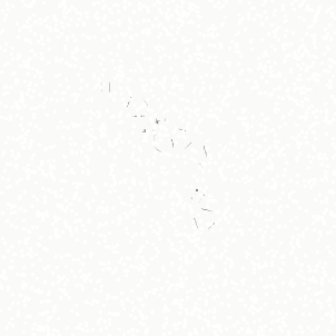 Cc1ccc(S(=O)(=O)OC[C@H]2C=Cc3ccc4c(ccn4S(=O)(=O)c4ccc(C)cc4)c3O2)cc1